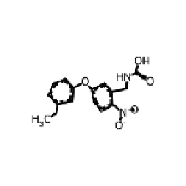 CCc1cccc(Oc2ccc([N+](=O)[O-])c(CNC(=O)O)c2)c1